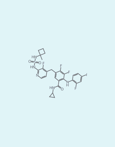 CC1(NS(=O)(=O)Nc2nccc(Cc3cc(C(=O)NC4CC4)c(Nc4ccc(I)cc4F)c(F)c3F)c2F)CCC1